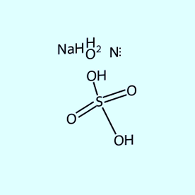 O.O=S(=O)(O)O.[N].[NaH]